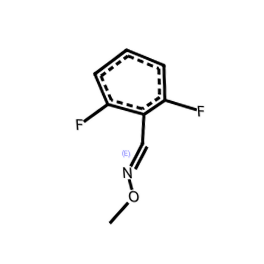 CO/N=C/c1c(F)cccc1F